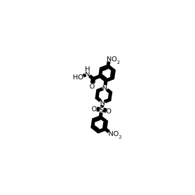 O=C(NO)c1cc([N+](=O)[O-])ccc1N1CCN(S(=O)(=O)c2cccc([N+](=O)[O-])c2)CC1